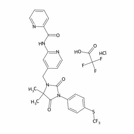 CC1(C)C(=O)N(c2ccc(SC(F)(F)F)cc2)C(=O)N1Cc1ccnc(NC(=O)c2ccccn2)c1.Cl.O=C(O)C(F)(F)F